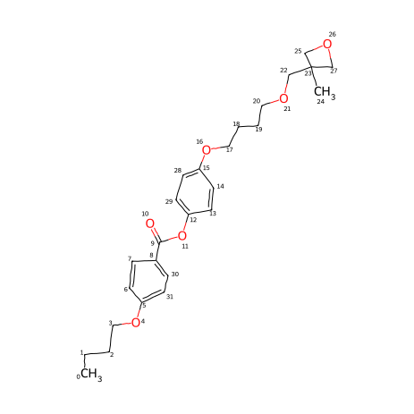 CCCCOc1ccc(C(=O)Oc2ccc(OCCCCOCC3(C)COC3)cc2)cc1